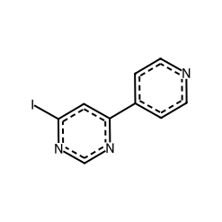 Ic1cc(-c2ccncc2)ncn1